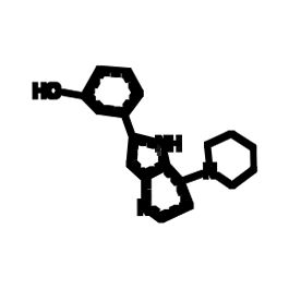 Oc1cccc(-c2cc3nccc(N4CCCCC4)c3[nH]2)c1